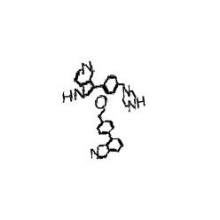 c1cc(-c2ccc(CCOc3cc(CN4CCNCC4)ccc3-c3c[nH]c4ccncc34)cc2)c2cnccc2c1